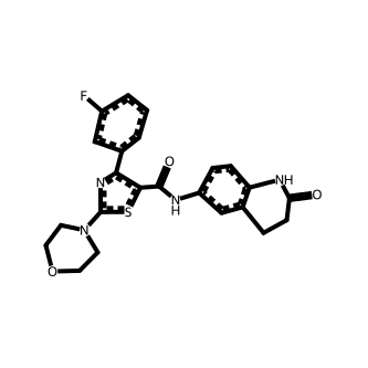 O=C1CCc2cc(NC(=O)c3sc(N4CCOCC4)nc3-c3cccc(F)c3)ccc2N1